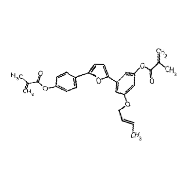 C=C(C)C(=O)Oc1ccc(-c2ccc(-c3cc(OC/C=C/C)cc(OC(=O)C(=C)C)c3)o2)cc1